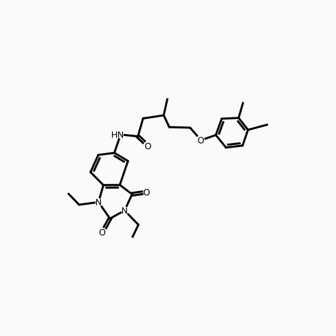 CCn1c(=O)c2cc(NC(=O)CC(C)CCOc3ccc(C)c(C)c3)ccc2n(CC)c1=O